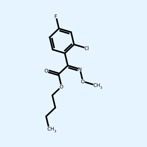 CCCCOC(=O)C(=NOC)c1c[c]c(F)cc1Cl